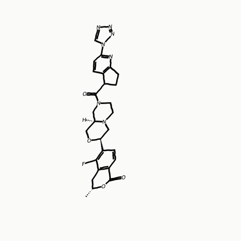 C[C@@H]1Cc2c(ccc([C@@H]3CN4CCN(C(=O)C5CCc6nc(-n7cnnn7)ccc65)C[C@@H]4CO3)c2F)C(=O)O1